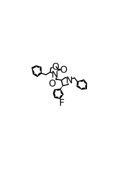 O=C1OCC(Cc2ccccc2)N1C(=O)C1CN(Cc2ccccc2)C[C@H]1c1cccc(F)c1